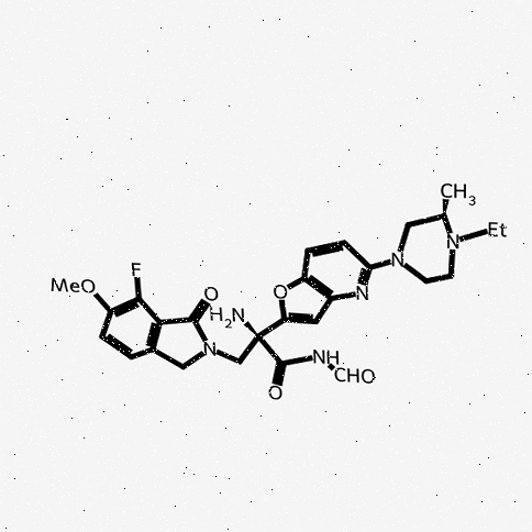 CCN1CCN(c2ccc3oc([C@@](N)(CN4Cc5ccc(OC)c(F)c5C4=O)C(=O)NC=O)cc3n2)C[C@H]1C